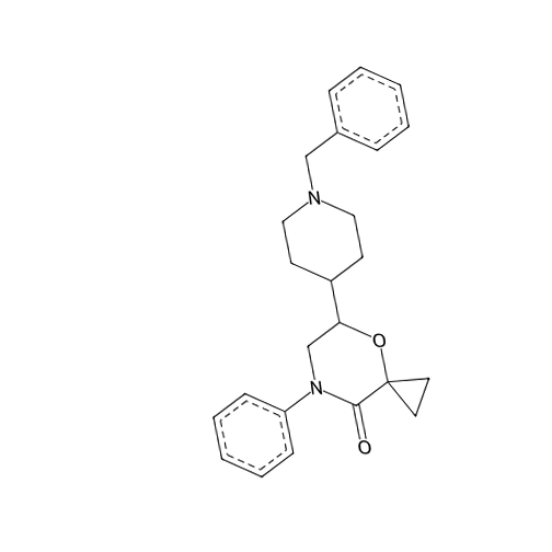 O=C1N(c2ccccc2)CC(C2CCN(Cc3ccccc3)CC2)OC12CC2